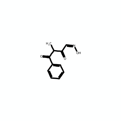 CC(C(=O)/C=N\O)C(=O)c1ccccc1